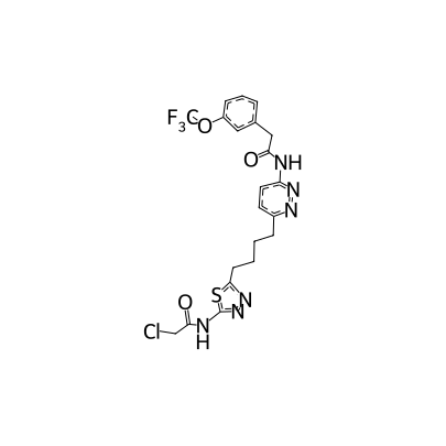 O=C(Cc1cccc(OC(F)(F)F)c1)Nc1ccc(CCCCc2nnc(NC(=O)CCl)s2)nn1